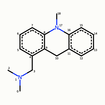 CN(C)Cc1cccc2c1Cc1ccccc1N2C